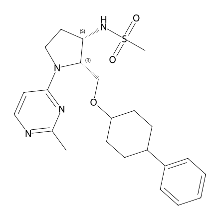 Cc1nccc(N2CC[C@H](NS(C)(=O)=O)[C@@H]2COC2CCC(c3ccccc3)CC2)n1